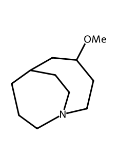 COC1CCN2CCCC(CC2)C1